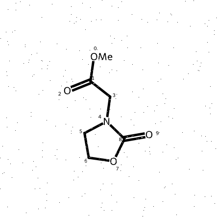 COC(=O)CN1CCOC1=O